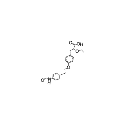 CCOC(Cc1ccc(OCCc2ccc(NC=O)cc2)cc1)C(=O)O